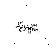 C=C(OC)C(=O)OC(=O)CNC(=N)N